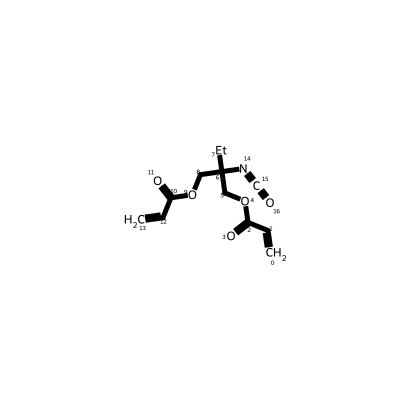 C=CC(=O)OCC(CC)(COC(=O)C=C)N=C=O